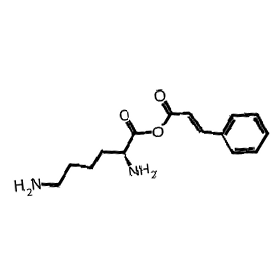 NCCCC[C@H](N)C(=O)OC(=O)/C=C/c1ccccc1